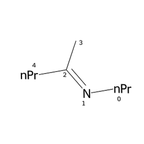 CCCN=C(C)CCC